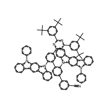 CC(C)(C)c1cc(-c2nc(-c3cc(C(C)(C)C)cc(C(C)(C)C)c3)nc(-c3ccc(-n4c5ccccc5c5cc6c7ccccc7n(-c7ccccc7)c6cc54)c(-c4ccc(-c5cccc(C#N)c5)cc4-n4c5ccccc5c5cc6c7ccccc7n(-c7ccccc7)c6cc54)c3)n2)cc(C(C)(C)C)c1